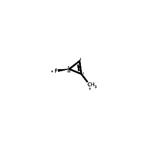 CC1=C[C@@H]1F